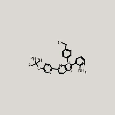 [2H]C([2H])([2H])Oc1ccc(-c2ccc3nc(-c4cccnc4N)n(-c4ccc(CCl)cc4)c3n2)nc1